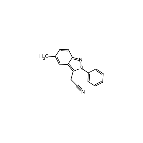 Cc1ccc2nn(-c3ccccc3)c(CC#N)c2c1